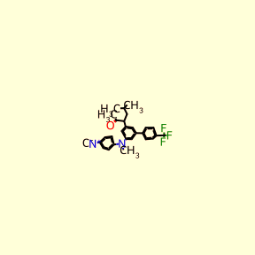 [C-]#[N+]c1ccc(N(C)c2cc(-c3ccc(C(F)(F)F)cc3)cc(C(CC(C)C)C(C)=O)c2)cc1